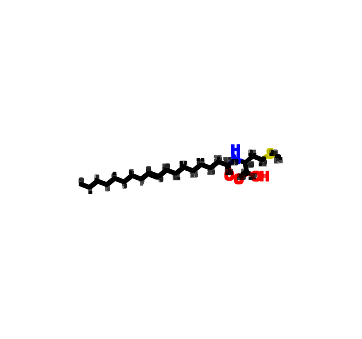 CCCCCCCC/C=C/CCCCCCCC(=O)N[C@@H](CCSC)C(=O)O